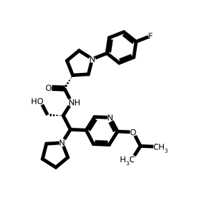 CC(C)Oc1ccc(C([C@H](CO)NC(=O)[C@@H]2CCN(c3ccc(F)cc3)C2)N2CCCC2)cn1